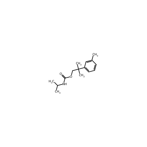 Cc1cccc(C(C)(C)COC(=O)NC(C)C)c1